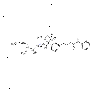 CC#CC[C@@H](C)[C@H](O)/C=C/[C@@H]1[C@H]2c3cccc(CCCC(=O)Nc4ccccn4)c3O[C@H]2C[C@H]1O